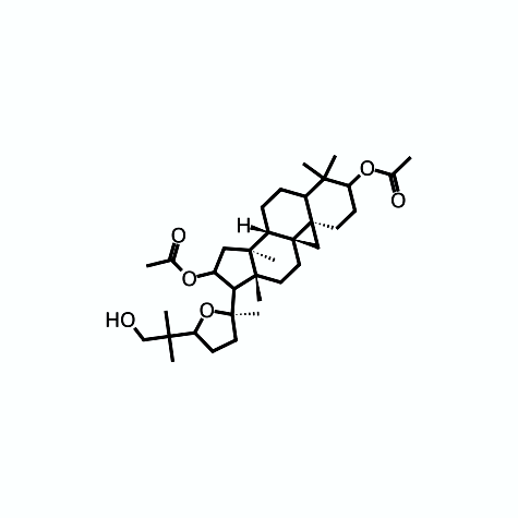 CC(=O)OC1C[C@@]2(C)[C@@H]3CCC4C(C)(C)C(OC(C)=O)CC[C@@]45C[C@@]35CC[C@]2(C)C1[C@@]1(C)CCC(C(C)(C)CO)O1